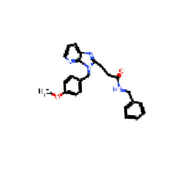 COc1ccc(Cn2c(CCC(=O)NCc3ccccc3)nc3cccnc32)cc1